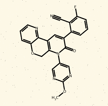 COc1ncc(-n2c3c(cc(-c4cccc(F)c4C#N)c2=O)-c2ncccc2OC3)cn1